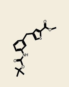 COC(=O)c1cc(Cc2cccc(NC(=O)OC(C)(C)C)c2)cs1